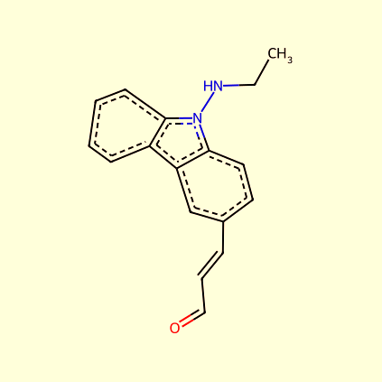 CCNn1c2ccccc2c2cc(C=CC=O)ccc21